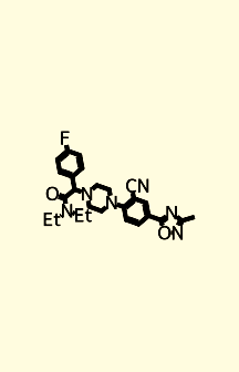 CCN(CC)C(=O)C(c1ccc(F)cc1)N1CCN(c2ccc(-c3nc(C)no3)cc2C#N)CC1